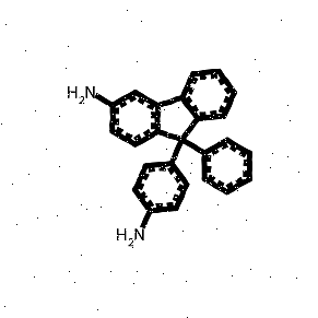 Nc1ccc(C2(c3ccccc3)c3ccccc3-c3cc(N)ccc32)cc1